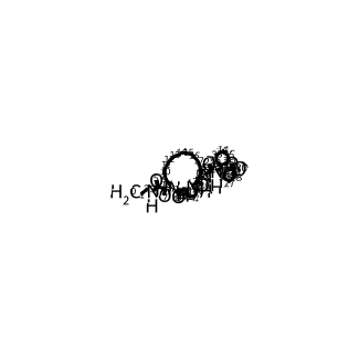 C=CCNC(=O)C(=O)[C@@H]1CCCCCCCCCC[C@H](NC(=O)NC2([C@H]3CCCS3(=O)=O)CCCCC2)C(=O)N2CCC[C@H]2C(=O)N1